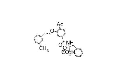 CC(=O)c1ccc(C(=O)NC2(OC(=O)O)Cc3ccccc3C2)cc1OCCc1cccc(C)c1